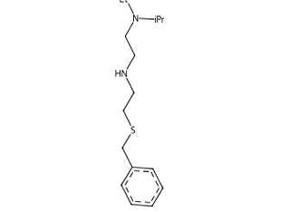 CCN(CCNCCSCc1ccccc1)C(C)C